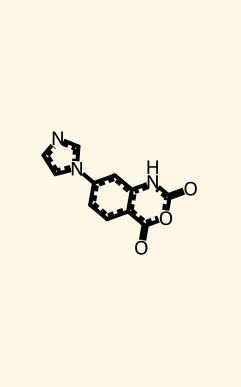 O=c1[nH]c2cc(-n3ccnc3)ccc2c(=O)o1